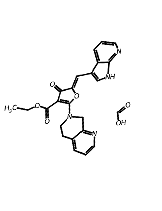 CCOC(=O)C1=C(N2CCc3cccnc3C2)OC(=Cc2c[nH]c3ncccc23)C1=O.O=CO